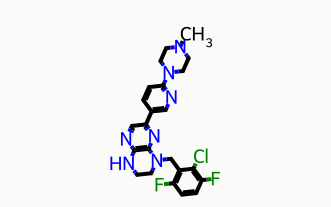 CN1CCN(c2ccc(-c3cnc4c(n3)N(Cc3c(F)ccc(F)c3Cl)CCN4)cn2)CC1